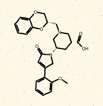 COc1ccccc1C1=CC(=O)N([C@H]2CCCN(C[C@H]3COc4ccccc4O3)C2)C1.O=CO